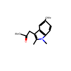 COC(=O)Cc1c(C)n(C)c2ccc(OC)cc12